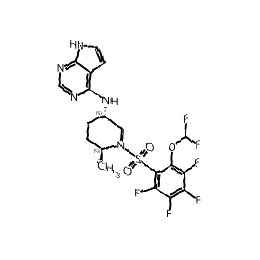 C[C@H]1CC[C@H](Nc2ncnc3[nH]ccc23)CN1S(=O)(=O)c1c(F)c(F)c(F)c(F)c1OC(F)F